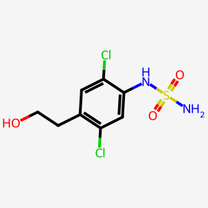 NS(=O)(=O)Nc1cc(Cl)c(CCO)cc1Cl